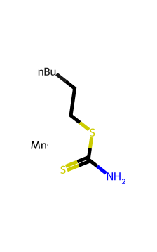 CCCCCCSC(N)=S.[Mn]